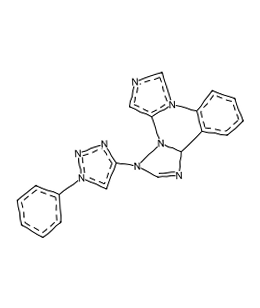 C1=NC2c3ccccc3-n3cncc3N2N1c1cn(-c2ccccc2)nn1